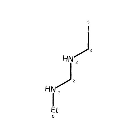 CCNCNCI